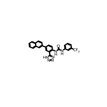 O=C(Nc1cccc(C(F)(F)F)c1)Nc1ccc(-c2ccc3ccccc3c2)cc1-c1nnn[nH]1